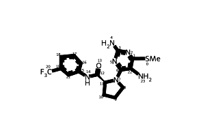 CSc1nc(N)nc(N2CCC[C@H]2C(=O)Nc2cccc(C(F)(F)F)c2)c1N